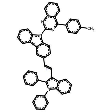 Cc1ccc(-c2nc(-n3c4ccccc4c4cc(/C=C/c5c(-c6ccccc6)n(-c6ccccc6)c6ccccc56)ccc43)nc3ccccc23)cc1